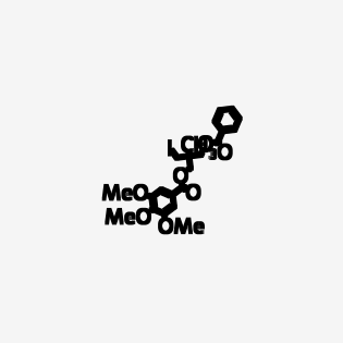 COc1cc(C(=O)OCC(C)(CI)COC(=O)c2ccccc2)cc(OC)c1OC